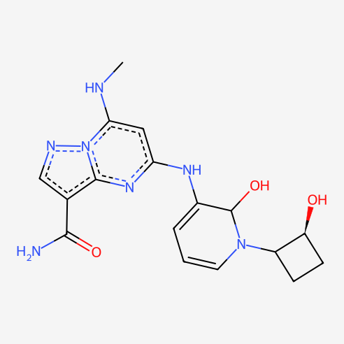 CNc1cc(NC2=CC=CN(C3CC[C@@H]3O)C2O)nc2c(C(N)=O)cnn12